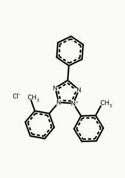 Cc1ccccc1-n1nc(-c2ccccc2)n[n+]1-c1ccccc1C.[Cl-]